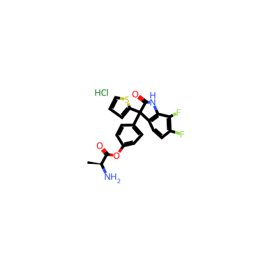 C[C@H](N)C(=O)Oc1ccc(C2(c3cccs3)C(=O)Nc3c2ccc(F)c3F)cc1.Cl